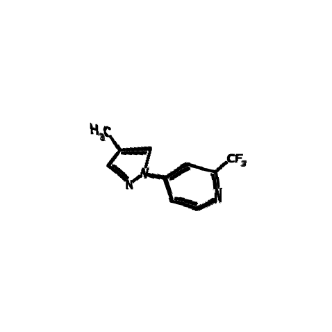 Cc1cnn(-c2ccnc(C(F)(F)F)c2)c1